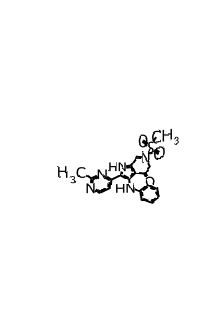 Cc1nccc(-c2[nH]c3c(c2Nc2ccccc2)C(=O)CN(S(C)(=O)=O)C3)n1